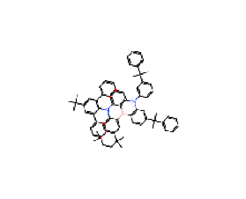 Cc1cc2c3c(c1)N(c1c(-c4ccccc4)cc(C(C)(C)C)cc1-c1ccccc1)c1cc4c(cc1B3c1ccc(C(C)(C)c3ccccc3)cc1N2c1cccc(C(C)(C)c2ccccc2)c1)C(C)(C)CCC4(C)C